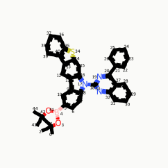 CC1(C)OB(c2ccc3c(c2)c2cc4c(cc2n3-c2nc(-c3ccccc3)c3ccccc3n2)sc2ccccc24)OC1(C)C